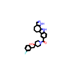 O=C(c1ccc2[nH]c3c(c2c1)CCCc1cn[nH]c1-3)N1CCC(O)(Cc2cccc(F)c2)CC1